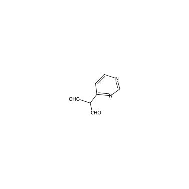 O=CC(C=O)c1ccncn1